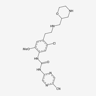 COc1cc(CCNCC2CNCCO2)c(Cl)cc1NC(=O)Nc1cnc(C#N)cn1